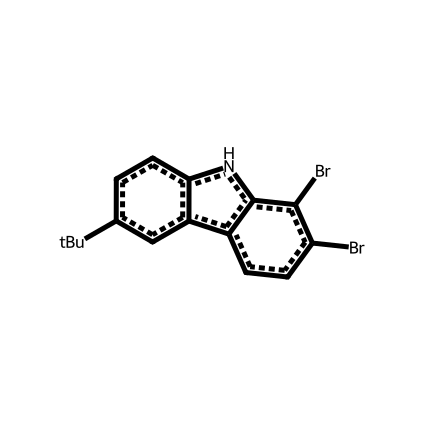 CC(C)(C)c1ccc2[nH]c3c(Br)c(Br)ccc3c2c1